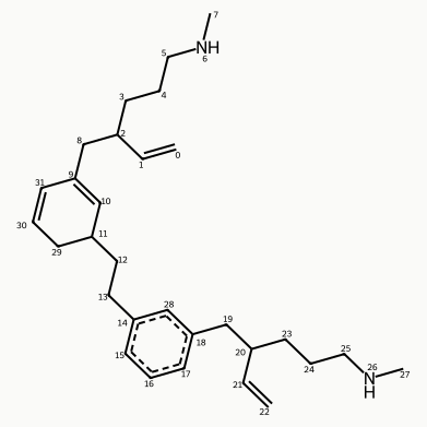 C=CC(CCCNC)CC1=CC(CCc2cccc(CC(C=C)CCCNC)c2)CC=C1